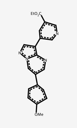 CCOC(=O)c1cncc(-c2cnn3cc(-c4ccc(OC)cc4)cnc23)c1